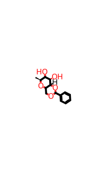 C[C@@H]1OC2COC(c3ccccc3)O[C@H]2[C@H](O)C1O